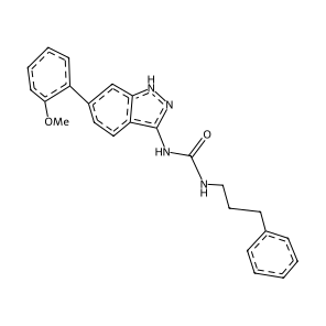 COc1ccccc1-c1ccc2c(NC(=O)NCCCc3ccccc3)n[nH]c2c1